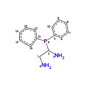 NCC(N)P(c1ccccc1)c1ccccc1